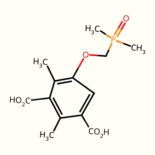 Cc1c(OCP(C)(C)=O)cc(C(=O)O)c(C)c1C(=O)O